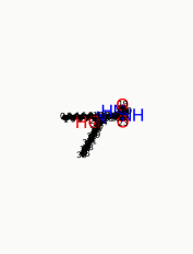 CCCCCCCCCCCN(CCCCC1NC(=O)CNC1=O)CC(O)CCCCCCCCCC